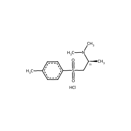 Cc1ccc(S(=O)(=O)C[C@H](C)N(C)C)cc1.Cl